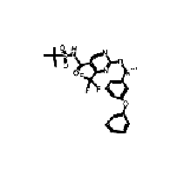 C[C@@H](Oc1ncc(C(=O)NS(=O)(=O)C(C)(C)C)c(C(F)(F)F)n1)c1cccc(Oc2ccccc2)c1